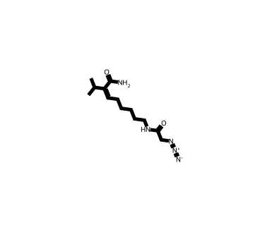 CC(C)C(=CCCCCCNC(=O)CN=[N+]=[N-])C(N)=O